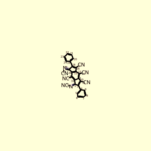 N#C/N=c1/c(-c2ccccc2)c(C#N)c2c(C#N)c3c(C#N)c(-c4ccccc4)/c(=N/C#N)c3c(C#N)c12